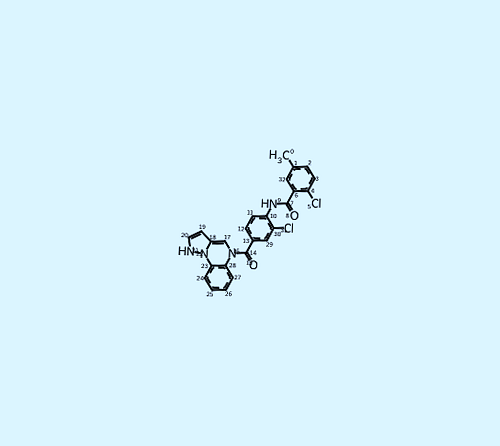 Cc1ccc(Cl)c(C(=O)Nc2ccc(C(=O)N3C=C4C=CNN4c4ccccc43)cc2Cl)c1